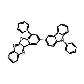 c1ccc(-n2c3ccccc3c3cc(-c4cc5c6ccccc6n6c7nc8ccccc8nc7c(c4)c56)ccc32)cc1